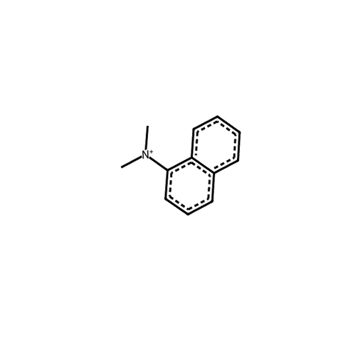 C[N+](C)c1cccc2ccccc12